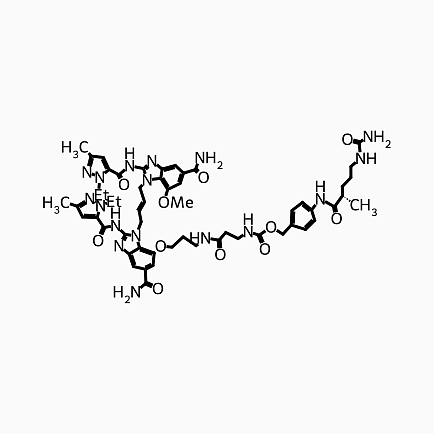 CCn1nc(C)cc1C(=O)Nc1nc2cc(C(N)=O)cc(OC)c2n1C/C=C/Cn1c(NC(=O)c2cc(C)nn2CC)nc2cc(C(N)=O)cc(OCCCNC(=O)CCNC(=O)OCc3ccc(NC(=O)[C@@H](C)CCCNC(N)=O)cc3)c21